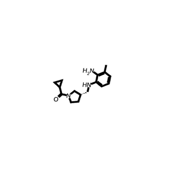 Cc1cccc(NC[C@@H]2CCN(C(=O)C3CC3)C2)c1N